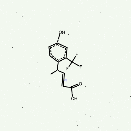 CC(/C=C/C(=O)O)c1ccc(O)cc1C(F)(F)F